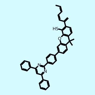 C=C(/C=C\C=C/C)c1ccc2c(c1S)Oc1cc(-c3ccc(-c4nc(-c5ccccc5)cc(-c5ccccc5)n4)cc3)ccc1C2(C)C